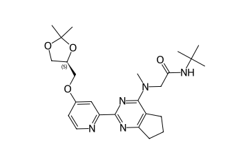 CN(CC(=O)NC(C)(C)C)c1nc(-c2cc(OC[C@H]3COC(C)(C)O3)ccn2)nc2c1CCC2